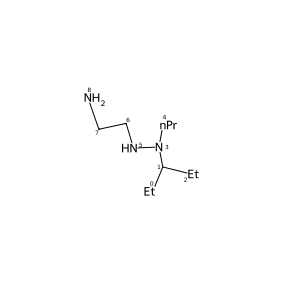 [CH2]CC(CC)N(CCC)NCCN